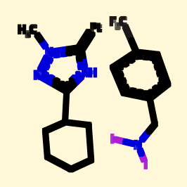 Cn1nc(C2CCCCC2)[nH][c]1=[Pt].FC(F)(F)c1ccc(CN(I)I)cc1